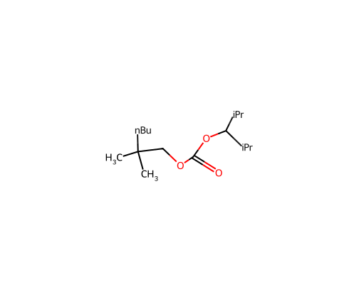 CCCCC(C)(C)COC(=O)OC(C(C)C)C(C)C